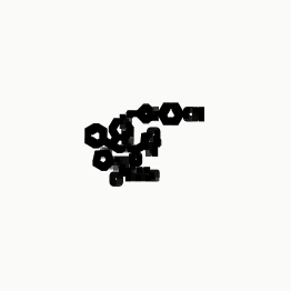 CNC(=O)N[C@H]1CCC[C@@H]1C(CNC(=O)c1cocn1)(c1ccccc1)C1CCN(CC2CN(c3ccc(C#N)cc3)C2)CC1